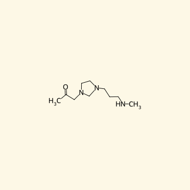 CNCCCN1CCN(CC(C)=O)C1